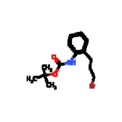 CC(C)(C)OC(=O)Nc1ccccc1CCCBr